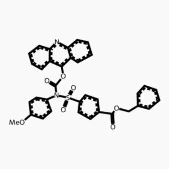 COc1ccc(N(C(=O)Oc2c3ccccc3nc3ccccc23)S(=O)(=O)c2ccc(C(=O)OCc3ccccc3)cc2)cc1